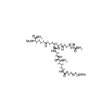 CNC(CCCCNCCCC(CCCNCCCCC(N)C(N)=O)OC(=O)NCCNC(=O)C(N)CCCCNC(=O)OCCOCCOC)C(N)=O